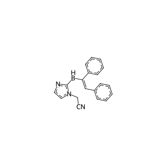 N#CCn1ccnc1BC(=Cc1ccccc1)c1ccccc1